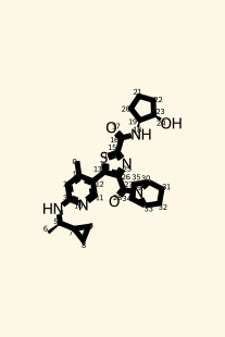 Cc1cc(N[C@H](C)C2CC2)ncc1-c1sc(C(=O)N[C@@H]2CCC[C@H]2O)nc1C(=O)N1C2CCC1CC2